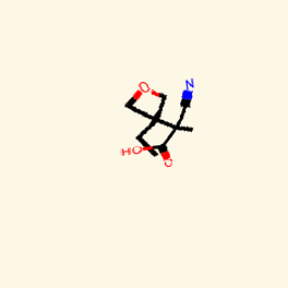 CCC1(C(C)(C#N)C(=O)O)COC1